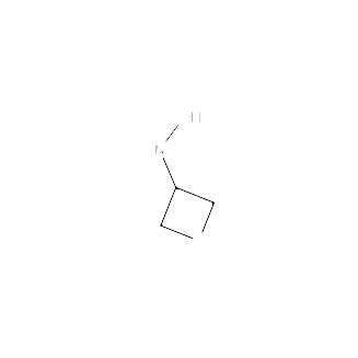 ONC1CSC1